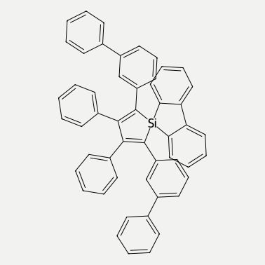 c1ccc(C2=C(c3cccc(-c4ccccc4)c3)[Si]3(C(c4cccc(-c5ccccc5)c4)=C2c2ccccc2)c2ccccc2-c2ccccc23)cc1